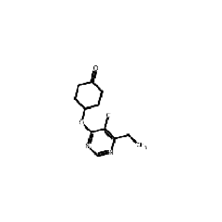 CCc1ncnc(OC2CCC(=O)CC2)c1Cl